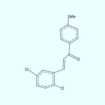 CSc1ccc(C(=O)C=Cc2cc(Cl)ccc2Cl)cc1